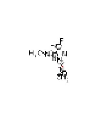 C=CC(=O)N1CC2(CCN(c3nc4c(c(-c5ccc(F)cc5F)c3C#N)CCN(CCC)C4)C2)C1